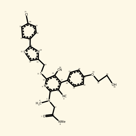 [C-]#[N+]c1c(N(C)CC(=O)NC)nc(SCc2csc(-c3ccc(Cl)cc3)n2)c(C#N)c1-c1ccc(OCCO)cc1